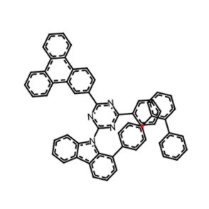 c1ccc(-c2nc(-c3ccc4c5ccccc5c5ccccc5c4c3)nc(-n3c4ccccc4c4cccc(-c5ccc(-c6ccccc6-c6ccccc6)cc5)c43)n2)cc1